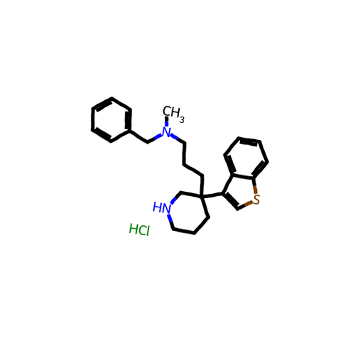 CN(CCCC1(c2csc3ccccc23)CCCNC1)Cc1ccccc1.Cl